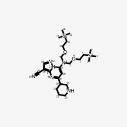 C[Si](C)(C)CCOCN(COCC[Si](C)(C)C)c1cc(C2CCCNC2)nc2c(C#N)cnn12